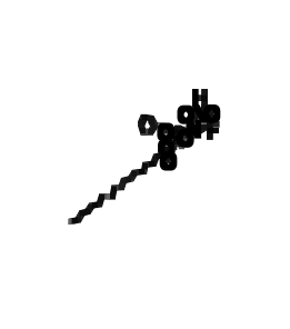 CCCCCCCCCCCCCCCCCC(=O)OC[C@H]1O[C@@H](n2cc(F)c(=O)[nH]c2=O)C[C@@H]1OCc1ccccc1